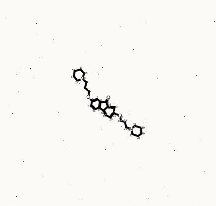 O=C1c2cc(OCCCN3CCCCC3)ccc2-c2ccc(OCCCN3CCCCC3)cc21